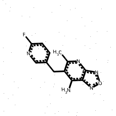 Cc1nc2nonc2c(N)c1Cc1ccc(F)nc1